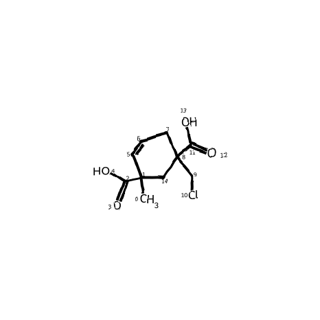 CC1(C(=O)O)C=CCC(CCl)(C(=O)O)C1